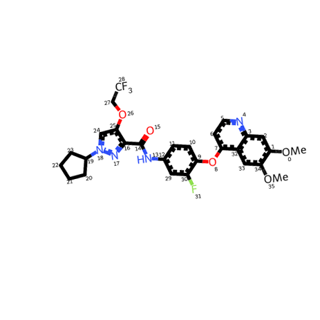 COc1cc2nccc(Oc3ccc(NC(=O)c4nn(C5CCCC5)cc4OCC(F)(F)F)cc3F)c2cc1OC